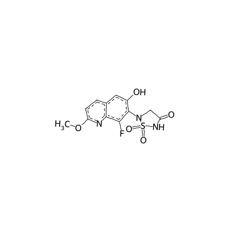 COc1ccc2cc(O)c(N3CC(=O)NS3(=O)=O)c(F)c2n1